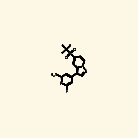 CC(C)(C)S(=O)(=O)c1ccn2ncc(-c3cc(N)nc(F)c3)c2c1